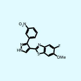 COc1cc2sc(-c3c[nH]nc3-c3cccc([N+](=O)[O-])c3)nc2cc1F